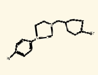 CC(C)c1ccc(N2CCN(CC3CCC(C(C)C)CC3)CC2)cc1